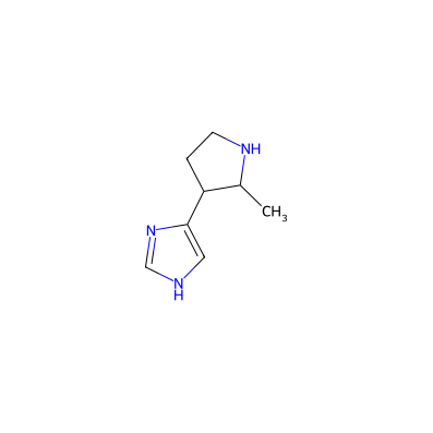 CC1NCCC1c1c[nH]cn1